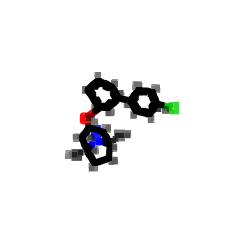 Clc1ccc(-c2cccc(O[C@@H]3C[C@H]4CC[C@@H](C3)N4)c2)cc1